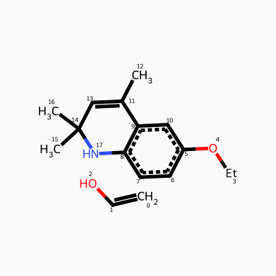 C=CO.CCOc1ccc2c(c1)C(C)=CC(C)(C)N2